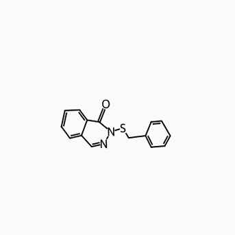 O=c1c2ccccc2cnn1SCc1ccccc1